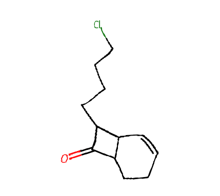 O=C1C2CCC=CC2C1CCCCCl